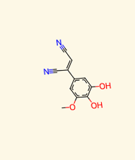 COc1cc(C(C#N)=CC#N)cc(O)c1O